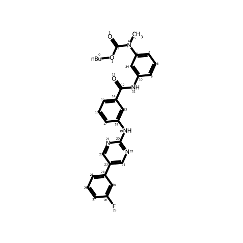 CCCCOC(=O)N(C)c1cccc(NC(=O)c2cccc(Nc3ncc(-c4cccc(F)c4)cn3)c2)c1